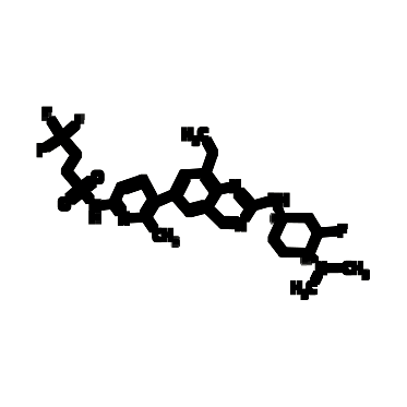 CCc1cc(-c2ccc(NS(=O)(=O)CCC(F)(F)F)nc2C)cc2cnc(N[C@@H]3CC[C@@H](N(C)C)C(F)C3)nc12